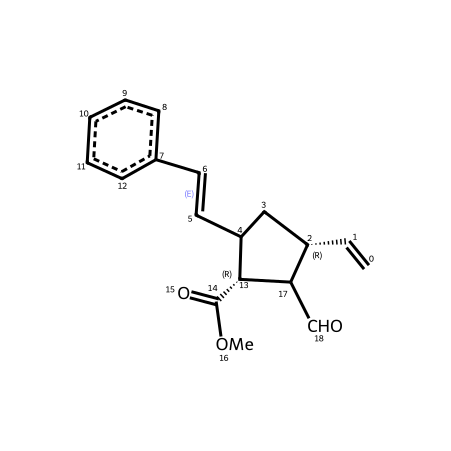 C=C[C@H]1CC(/C=C/c2ccccc2)[C@@H](C(=O)OC)C1C=O